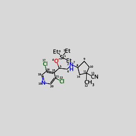 CC[Si](CC)(CC)OC(CNC1CCC(C)(C#N)C1)c1c(Cl)cncc1Cl